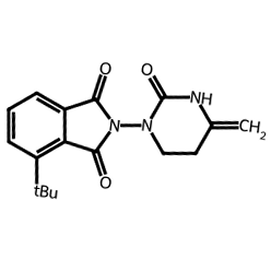 C=C1CCN(N2C(=O)c3cccc(C(C)(C)C)c3C2=O)C(=O)N1